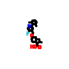 C=C(/C=C1/CC(C)C(C(=O)O)/C1=C/C)OCc1cc(-c2c(C)cccc2C)ncc1F